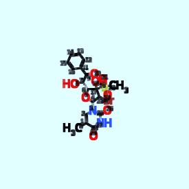 Cc1cn([C@@H]2O[C@H](C(O)C(=O)c3ccccc3)[C@](O)(S(C)(=O)=O)C2Br)c(=O)[nH]c1=O